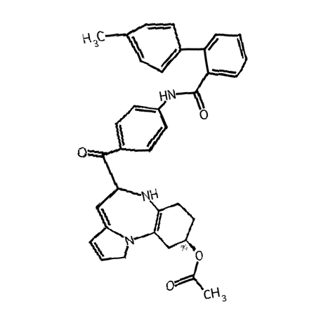 CC(=O)O[C@@H]1CCC2=C(C1)N1CC=CC1=CC(C(=O)c1ccc(NC(=O)c3ccccc3-c3ccc(C)cc3)cc1)N2